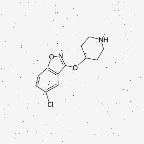 Clc1ccc2onc(OC3CCNCC3)c2c1